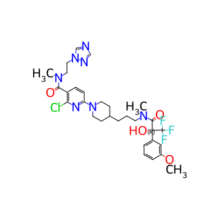 COc1cccc([C@@](O)(C(=O)N(C)CCCC2CCN(c3ccc(C(=O)N(C)CCn4cncn4)c(Cl)n3)CC2)C(F)(F)F)c1